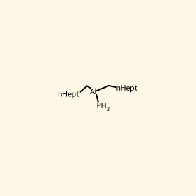 CCCCCCC[CH2][Al]([PH2])[CH2]CCCCCCC